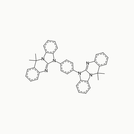 CC1(C)c2ccccc2N=C2N(c3ccc(N4C5=Nc6ccccc6C(C)(C)N5c5ccccc54)cc3)c3ccccc3N21